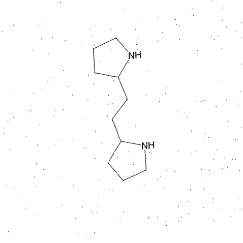 C1CNC(CCC2CCCN2)C1